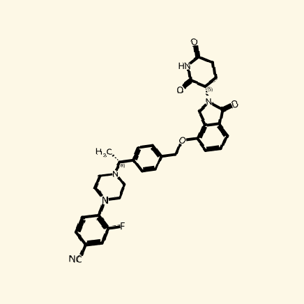 C[C@H](c1ccc(COc2cccc3c2CN([C@H]2CCC(=O)NC2=O)C3=O)cc1)N1CCN(c2ccc(C#N)cc2F)CC1